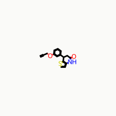 C#CCOc1cccc(C2CC(=O)Nc3ccsc32)c1